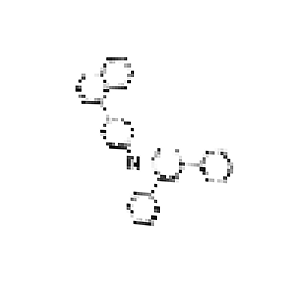 c1ccc(-c2ccc(Nc3ccc(-c4cccc5ccccc45)cc3)c(-c3ccccc3)c2)cc1